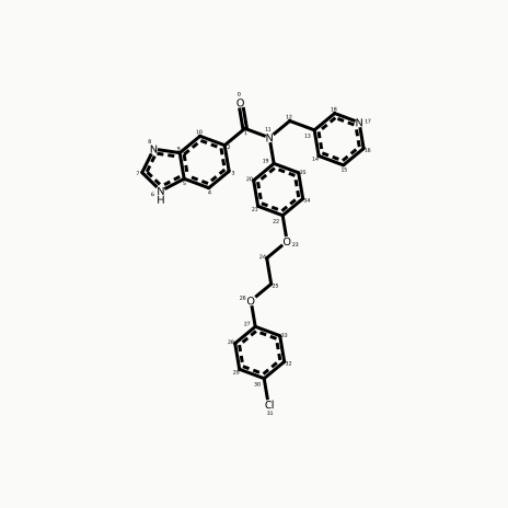 O=C(c1ccc2[nH]cnc2c1)N(Cc1cccnc1)c1ccc(OCCOc2ccc(Cl)cc2)cc1